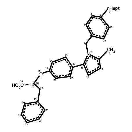 CCCCCCCc1ccc(Cn2c(C)ccc2-c2ccc(O[C@H](Cc3ccccc3)C(=O)O)cc2)cc1